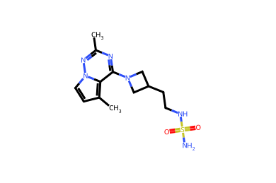 Cc1nc(N2CC(CCNS(N)(=O)=O)C2)c2c(C)ccn2n1